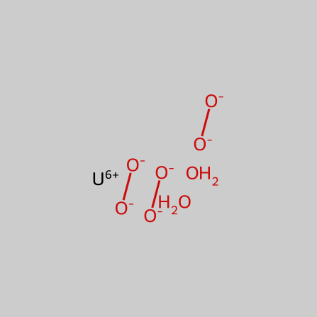 O.O.[O-][O-].[O-][O-].[O-][O-].[U+6]